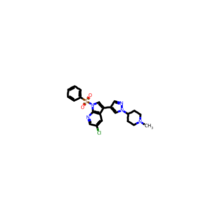 CN1CCC(n2cc(-c3cn(S(=O)(=O)c4ccccc4)c4ncc(Cl)cc34)cn2)CC1